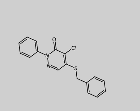 O=c1c(Cl)c(SCc2ccccc2)cnn1-c1ccccc1